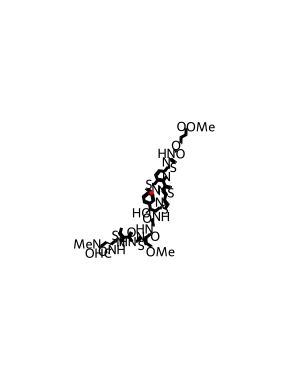 CNC(=O)C[C@H](NC=O)c1nc(C(=O)Nc2nc(C(=O)NCC(=O)N[C@H](c3nc(-c4nc(-c5nc(-c6nc(NC(=O)OCCCC(=O)OC)cs6)ccc5-c5nccs5)cs4)cs3)[C@@H](O)c3ccccc3)c(COC)s2)c(C)s1